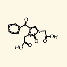 O=C(O)Cn1cc(C(=O)c2ccccc2)n(CC(=O)O)c1=O